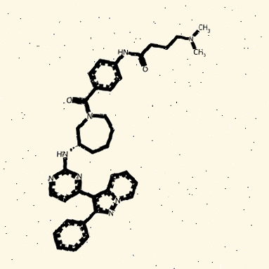 CN(C)CCCC(=O)Nc1ccc(C(=O)N2CCCC[C@H](Nc3nccc(-c4c(-c5ccccc5)nn5ccccc45)n3)C2)cc1